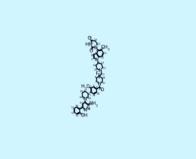 Cc1cc(C(=O)N2CCC(F)(CN3CCC(n4ccc5c(N6CCC(=O)NC6=O)c(C)ccc54)CC3)CC2)ccc1[C@H]1CCCN(c2cc(-c3ccccc3O)nnc2N)C1